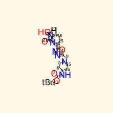 CC(C)(C)OC(=O)NC1CCN(Cc2nnc([C@@H]3CC[C@H]4CN3C(=O)N4O)o2)CC1